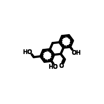 O=CC1c2c(O)cccc2Cc2cc(CO)cc(O)c21